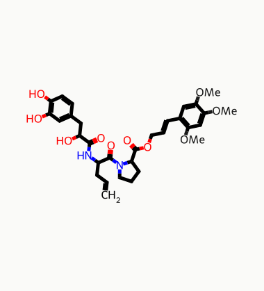 C=CCC(NC(=O)C(O)Cc1ccc(O)c(O)c1)C(=O)N1CCCC1C(=O)OC/C=C/c1cc(OC)c(OC)cc1OC